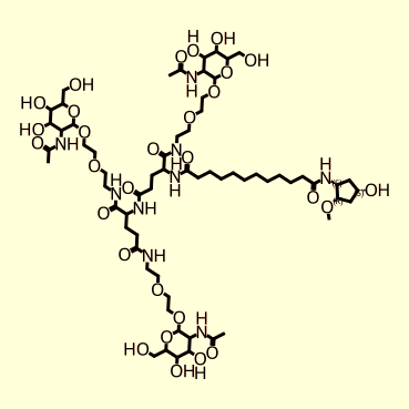 CO[C@@H]1C[C@@H](O)C[C@@H]1NC(=O)CCCCCCCCCCC(=O)NC(CCC(=O)NC(CCC(=O)NCCOCCOC1OC(CO)C(O)C(O)C1NC(C)=O)C(=O)NCCOCCOC1OC(CO)C(O)C(O)C1NC(C)=O)C(=O)NCCOCCOC1OC(CO)C(O)C(O)C1NC(C)=O